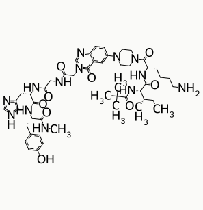 CC[C@H](C)[C@H](NC(=O)C(C)(C)C)C(=O)N[C@@H](CCCCN)C(=O)N1CCN(c2ccc3ncn(CC(=O)NCC(=O)N[C@@H](Cc4c[nH]cn4)C(=O)N[C@@H](Cc4ccc(O)cc4)C(=O)NC)c(=O)c3c2)CC1